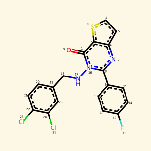 O=c1c2sccc2nc(-c2ccc(F)cc2)n1NCc1ccc(Cl)c(Cl)c1